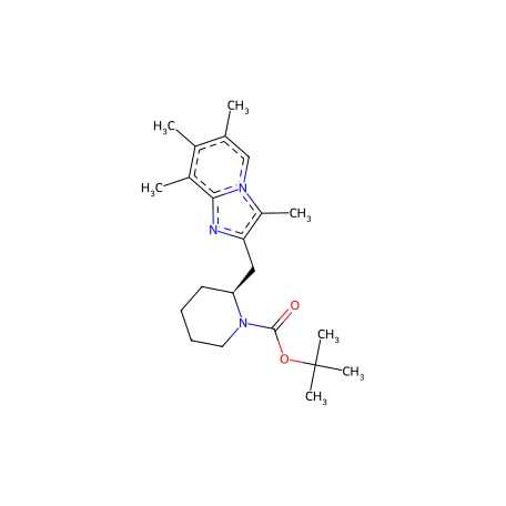 Cc1cn2c(C)c(C[C@@H]3CCCCN3C(=O)OC(C)(C)C)nc2c(C)c1C